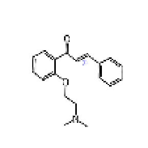 CN(C)CCOc1ccccc1C(=O)/C=C/c1ccccc1